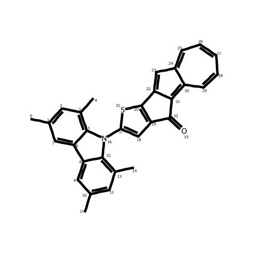 Cc1cc(C)c2c(c1)c1cc(C)cc(C)c1n2-c1cc2c(s1)-c1cc3cccccc-3c1C2=O